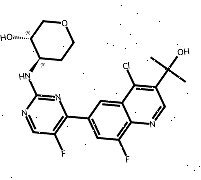 CC(C)(O)c1cnc2c(F)cc(-c3nc(N[C@@H]4CCOC[C@H]4O)ncc3F)cc2c1Cl